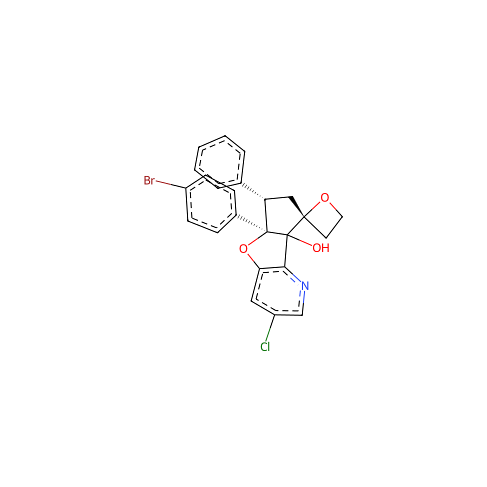 OC12c3ncc(Cl)cc3O[C@@]1(c1ccc(Br)cc1)[C@H](c1ccccc1)C[C@@]21CCO1